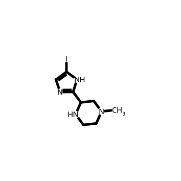 CN1CCNC(c2ncc(I)[nH]2)C1